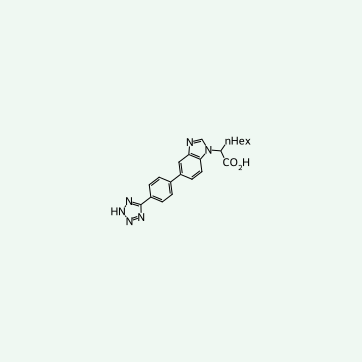 CCCCCCC(C(=O)O)n1cnc2cc(-c3ccc(-c4nn[nH]n4)cc3)ccc21